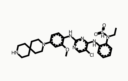 CCN(c1ccccc1Nc1nc(Nc2ccc(N3CCC4(CCNCC4)CC3)cc2OC)ncc1Cl)[SH](=O)=O